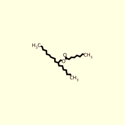 CCCCCCCCCC(CCCCCCC)COC(=O)CCCCCCC